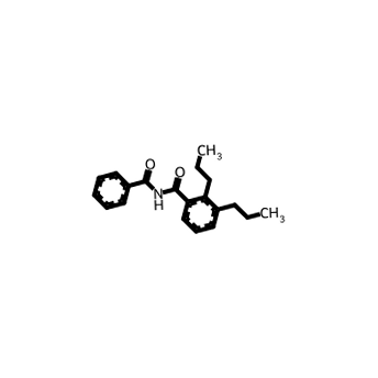 CCCc1cccc(C(=O)NC(=O)c2ccccc2)c1CCC